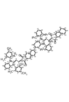 Cc1cc(C)c(N2C(=C/C=C3/C(=O)c4cc5ccc(-c6ccc7c(c6)N(c6c(C(C)C)cccc6C(C)C)/C(=C\C=C6C(=O)c8cc9ccccc9cc8C6=O)N7c6c(C(C)C)cccc6C(C)C)cc5cc4C3=O)N(c3c(C)cc(C)cc3C)c3ccccc32)c(C)c1